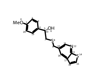 COc1ccc([C@H](O)CSCc2cnc3sccc3c2)cc1